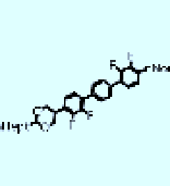 CCCCCCCCCc1ccc(-c2ccc(-c3ccc(C4COC(CCCCCCC)OC4)c(F)c3F)cc2)c(F)c1F